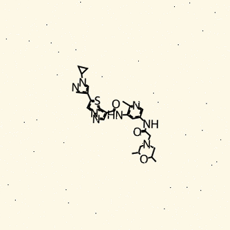 Cc1ncc(NC(=O)CN2CC(C)OC(C)C2)cc1NC(=O)c1cnn2cc(-c3cnn(C4CC4)c3)sc12